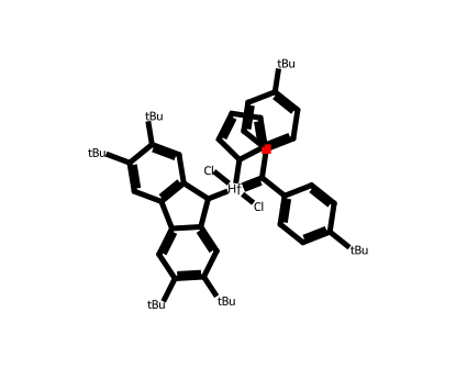 CC(C)(C)c1ccc([C](c2ccc(C(C)(C)C)cc2)=[Hf]([Cl])([Cl])([CH]2C=CC=C2)[CH]2c3cc(C(C)(C)C)c(C(C)(C)C)cc3-c3cc(C(C)(C)C)c(C(C)(C)C)cc32)cc1